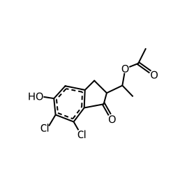 CC(=O)OC(C)C1Cc2cc(O)c(Cl)c(Cl)c2C1=O